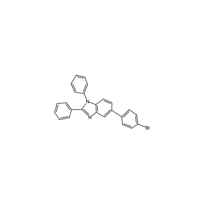 Brc1ccc(-c2ccc3c(c2)nc(-c2ccccc2)n3-c2ccccc2)cc1